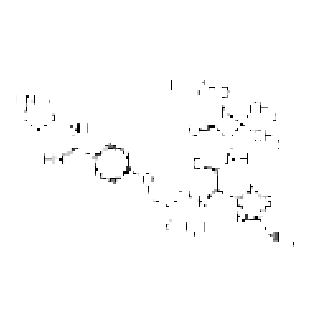 CC1(C)[C@H](NC(=O)/C(=N\O[C@@H](COc2ccc(C(=N)N[C@@H]3CCNC3)cc2)C(=O)O)c2nsc(N)n2)C(=O)N1OS(=O)(=O)O